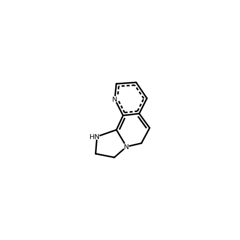 C1=c2cccnc2=C2NCCN2C1